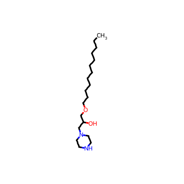 CCCCCCCCCCCCOCC(O)CN1CCNCC1